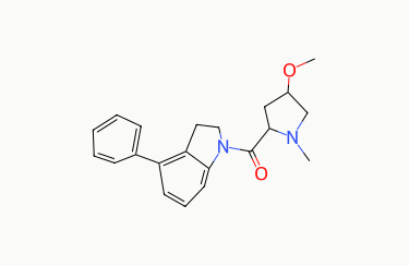 COC1CC(C(=O)N2CCc3c(-c4ccccc4)cccc32)N(C)C1